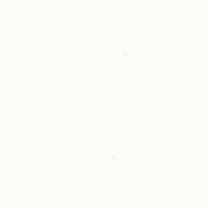 CC(=O)OCC(=O)N(C)c1ccc(Cl)c(COc2cccc3ccc(C)nc23)c1Cl